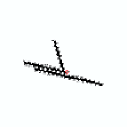 CCCCCCCCCCCCCCCCCCC(CCCCCCCCCCCCCC)C(=O)C(CCCCCCCCCCCCCC)CCCCCCCCCCCCCCCCCC